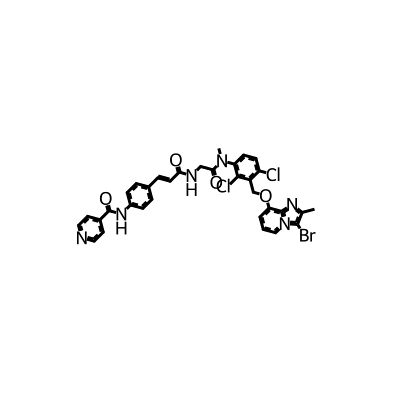 Cc1nc2c(OCc3c(Cl)ccc(N(C)C(=O)CNC(=O)/C=C/c4ccc(NC(=O)c5ccncc5)cc4)c3Cl)cccn2c1Br